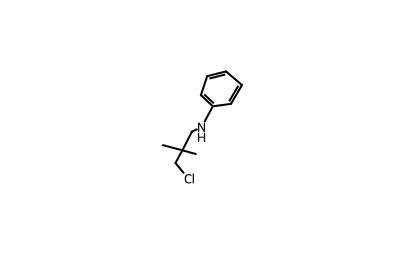 CC(C)(CCl)CNc1ccccc1